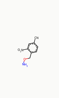 N#Cc1ccc(CON)c([N+](=O)[O-])c1